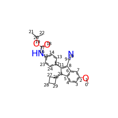 COc1ccc2c(c1)C(C#N)=C(c1ccc(NC(=O)OC(C)C)cc1)C2C1CCC1